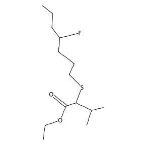 CCCC(F)CCCSC(C(=O)OCC)C(C)C